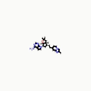 Cc1cn2ccc(CC[C@H]3C[C@@H](n4ccc5c(N)ncnc54)[C@@H]4OC(C)(C)C[C@H]34)cc2n1